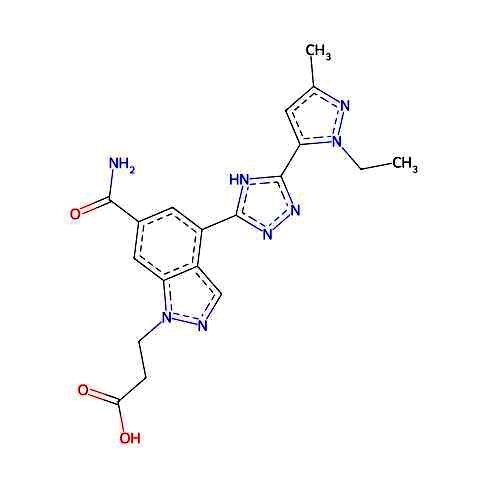 CCn1nc(C)cc1-c1nnc(-c2cc(C(N)=O)cc3c2cnn3CCC(=O)O)[nH]1